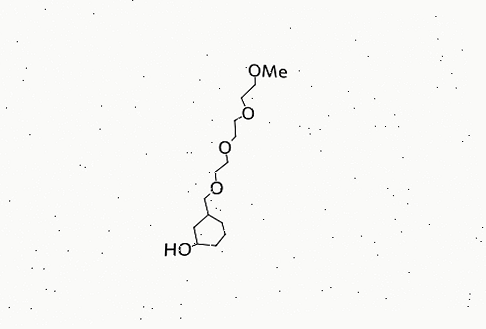 COCCOCCOCCOCC1CCCC(O)C1